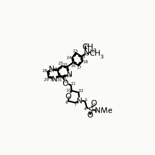 CNS(=O)(=O)CCN1CCOC(COc2nc(-c3ccc(N(C)C)cc3)cc3nccnc23)C1